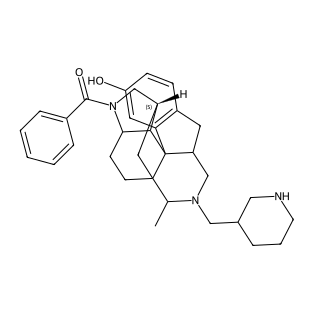 CC1N(CC2CCCNC2)CC2Cc3ccc(O)cc3C23C2C4CCC13C[C@@H]2CN4C(=O)c1ccccc1